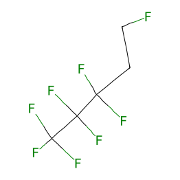 FCCC(F)(F)C(F)(F)C(F)(F)F